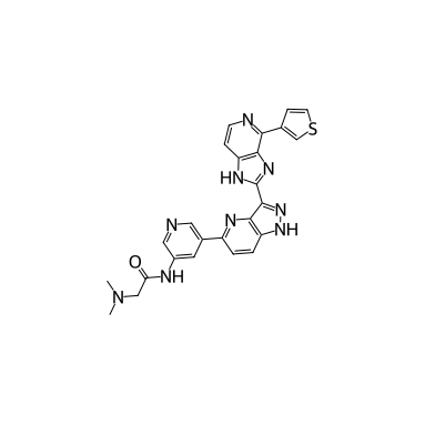 CN(C)CC(=O)Nc1cncc(-c2ccc3[nH]nc(-c4nc5c(-c6ccsc6)nccc5[nH]4)c3n2)c1